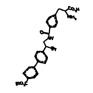 CCOC(=O)c1ccc(-c2ccc(C(CNC(=O)c3ccc(CC(N)C(=O)O)cc3)C(C)C)cc2)cc1